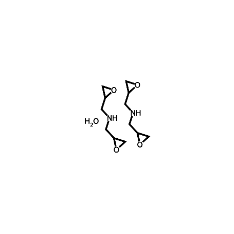 C(NCC1CO1)C1CO1.C(NCC1CO1)C1CO1.O